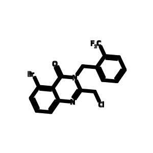 O=c1c2c(Br)cccc2nc(CCl)n1Cc1ccccc1C(F)(F)F